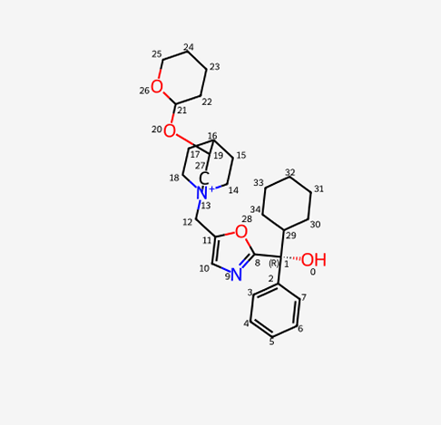 O[C@](c1ccccc1)(c1ncc(C[N+]23CCC(CC2)C(OC2CCCCO2)C3)o1)C1CCCCC1